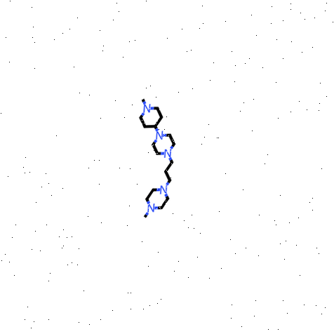 CN1CCC(N2CCN(CCCN3CCN(C)CC3)CC2)CC1